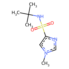 Cn1cnc(S(=O)(=O)NC(C)(C)C)c1